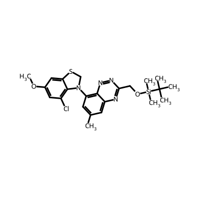 COc1cc(Cl)c2c(c1)SCN2c1cc(C)cc2nc(CO[Si](C)(C)C(C)(C)C)nnc12